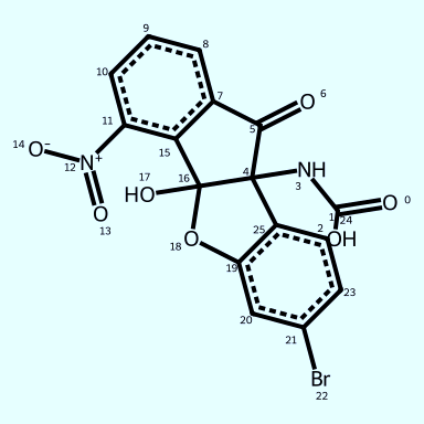 O=C(O)NC12C(=O)c3cccc([N+](=O)[O-])c3C1(O)Oc1cc(Br)ccc12